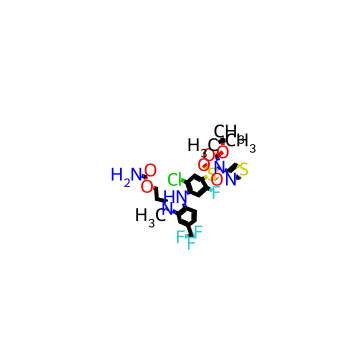 CN(CCCOC(N)=O)c1cc(C(F)(F)F)ccc1Nc1cc(F)c(S(=O)(=O)N(C(=O)OC(C)(C)C)c2cscn2)cc1Cl